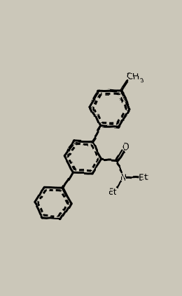 CCN(CC)C(=O)c1cc(-c2ccccc2)ccc1-c1ccc(C)cc1